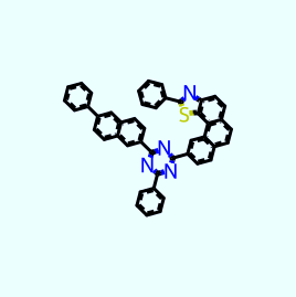 c1ccc(-c2ccc3cc(-c4nc(-c5ccccc5)nc(-c5ccc6ccc7ccc8nc(-c9ccccc9)sc8c7c6c5)n4)ccc3c2)cc1